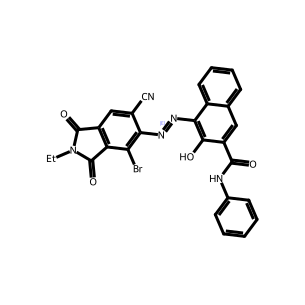 CCN1C(=O)c2cc(C#N)c(/N=N/c3c(O)c(C(=O)Nc4ccccc4)cc4ccccc34)c(Br)c2C1=O